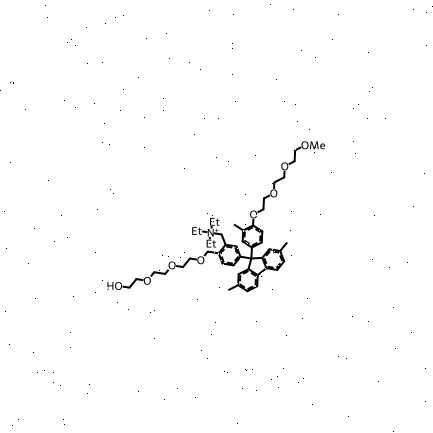 CC[N+](CC)(CC)Cc1cc(C2(c3ccc(OCCOCCOCCOC)c(C)c3)c3cc(C)ccc3-c3ccc(C)cc32)ccc1COCCOCCOCCO